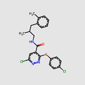 Cc1ccccc1CC(C)CNC(=O)c1cc(Cl)nnc1Sc1ccc(Cl)cc1